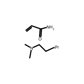 C=CC(N)=O.CC(C)CCN(C)C